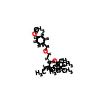 C=C[C@@H](C)[C@H](CCOCc1ccc(OC)cc1)O[Si](C)(C)C(C)(C)C